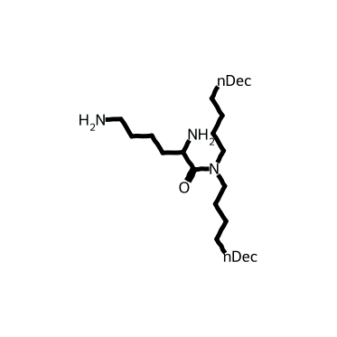 CCCCCCCCCCCCCCN(CCCCCCCCCCCCCC)C(=O)C(N)CCCCN